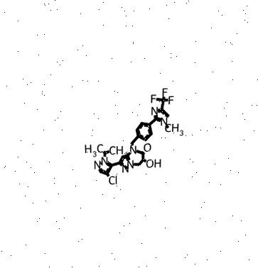 CC(C)n1ncc(Cl)c1-c1cc2n(n1)CC(O)C(=O)N2Cc1ccc(-c2nc(C(F)(F)F)cn2C)cc1